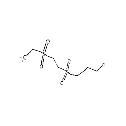 CCS(=O)(=O)CCS(=O)(=O)CCC[O]